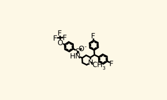 CN1CCC(N[S+]([O-])c2ccc(OC(F)(F)F)cc2)CC1C(c1ccc(F)cc1)c1ccc(F)cc1